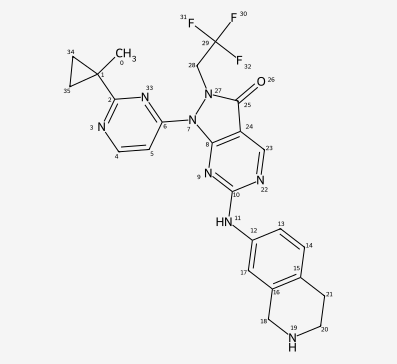 CC1(c2nccc(-n3c4nc(Nc5ccc6c(c5)CNCC6)ncc4c(=O)n3CC(F)(F)F)n2)CC1